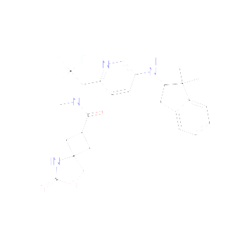 CN(C(=O)C1CC2(COC(=O)N2)C1)[C@@H](c1ccc(NC2Cc3ccccc3C2(C)C)cn1)C(F)(F)F